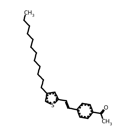 CCCCCCCCCCCCc1csc(C=Cc2ccc(C(C)=O)cc2)c1